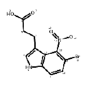 O=C(O)CCc1c[nH]c2ccc(Br)c([N+](=O)[O-])c12